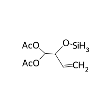 C=CC(O[SiH3])C(OC(C)=O)OC(C)=O